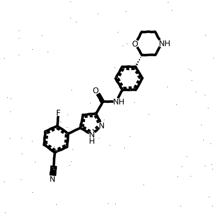 N#Cc1ccc(F)c(-c2cc(C(=O)Nc3ccc([C@H]4CNCCO4)cc3)n[nH]2)c1